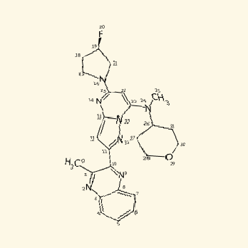 Cc1nc2ccccc2nc1-c1cc2nc(N3CC[C@@H](F)C3)cc(N(C)C3CCOCC3)n2n1